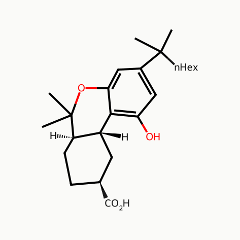 CCCCCCC(C)(C)c1cc(O)c2c(c1)OC(C)(C)[C@@H]1CC[C@H](C(=O)O)C[C@@H]21